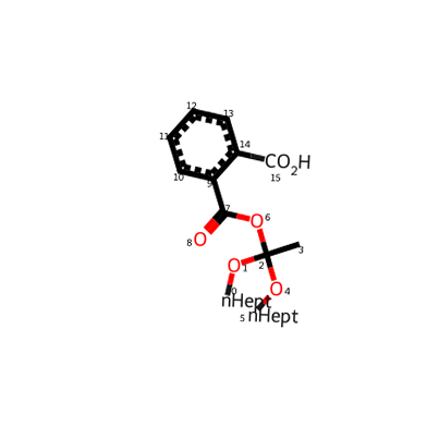 CCCCCCCOC(C)(OCCCCCCC)OC(=O)c1ccccc1C(=O)O